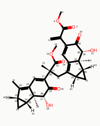 C=C(C(=O)OC)C1=CC2=C(C[C@@](C)(C(=O)OC)C3=CC4=C(C)[C@H]5C[C@H]5[C@]4(C)[C@@H](O)C3=O)[C@H]3C[C@H]3[C@]2(C)[C@@H](O)C1=O